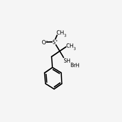 Br.C[S+]([O-])C(C)(S)Cc1ccccc1